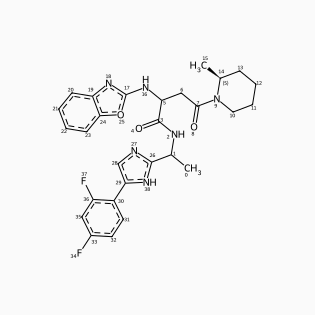 CC(NC(=O)C(CC(=O)N1CCCC[C@@H]1C)Nc1nc2ccccc2o1)c1ncc(-c2ccc(F)cc2F)[nH]1